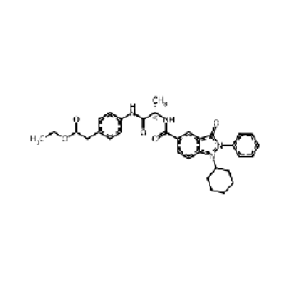 CCOC(=O)Cc1ccc(NC(=O)[C@H](C)NC(=O)c2ccc3c(c2)c(=O)n(-c2ccccc2)n3C2CCCCC2)cc1